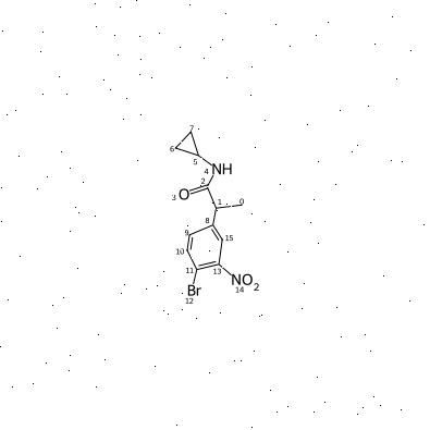 CC(C(=O)NC1CC1)c1ccc(Br)c([N+](=O)[O-])c1